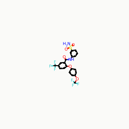 NS(=O)(=O)c1cccc(NC(=O)c2cc(C(F)(F)F)ccc2Oc2ccc(OC(F)(F)F)cc2)c1